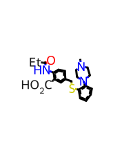 CCC(=O)Nc1ccc(CSc2ccccc2N2CCN(C)CC2)cc1C(=O)O